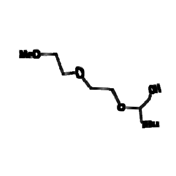 CCC(C)C(O)OCCOCCOC